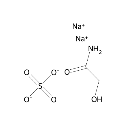 NC(=O)CO.O=S(=O)([O-])[O-].[Na+].[Na+]